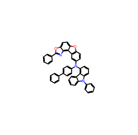 c1ccc(-c2ccc(N(c3ccc4oc5ccc6oc(-c7ccccc7)nc6c5c4c3)c3cccc4c3c3ccccc3n4-c3ccccc3)cc2)cc1